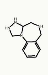 c1ccc2c(c1)CNCC1NNCN21